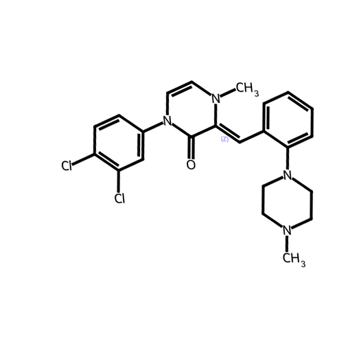 CN1CCN(c2ccccc2/C=C2/C(=O)N(c3ccc(Cl)c(Cl)c3)C=CN2C)CC1